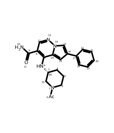 CC(=O)N1CCC[C@@H](Nc2c(C(N)=O)cnn3cc(-c4ccccc4)cc23)C1